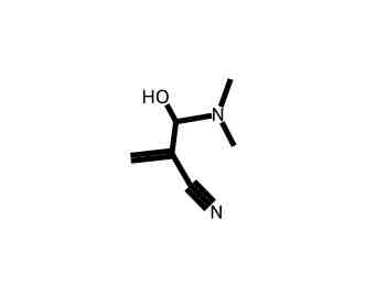 C=C(C#N)C(O)N(C)C